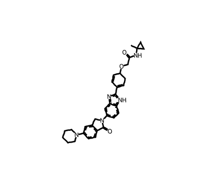 CC1(NC(=O)COC2C=CC(c3nc4cc(N5Cc6cc(N7CCCCC7)ccc6C5=O)ccc4[nH]3)=CC2)CC1